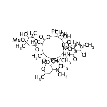 CC[C@H]1OC(=O)[C@H](C)[C@@H](O[C@H]2C[C@@](C)(OC)[C@@H](O)[C@H](C)O2)[C@H](C)[C@@H](O[C@@H]2O[C@H](C)C[C@H](N(C)C)[C@H]2OCCCNC(=O)c2c(C)nn(C)c2Cl)[C@](C)(O)C[C@@H](C)CN(C)[C@H](C)[C@@H](O)[C@]1(C)O